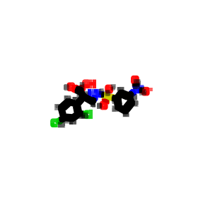 O=C(O)C(CNS(=O)(=O)c1cccc([N+](=O)[O-])c1)c1ccc(Cl)cc1Cl